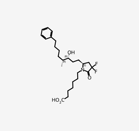 C[C@H](CCCCc1ccccc1)[C@H](O)CC[C@H]1CC(F)(F)C(=O)N1CCCCCCC(=O)O